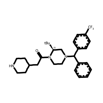 CC(C)(C)[C@H]1CN(C(c2ccccc2)c2ccc(C(F)(F)F)cc2)CCN1C(=O)CC1CCNCC1